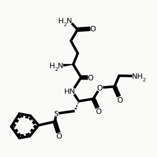 NCC(=O)OC(=O)[C@H](CSC(=O)c1ccccc1)NC(=O)[C@@H](N)CCC(N)=O